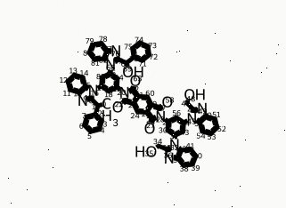 CC(c1ccccc1)c1nc2ccccc2n1-c1cc(-n2c(=O)c3cc4c(=O)n(-c5cc(-n6c(CO)nc7ccccc76)cc(-n6c(CO)nc7ccccc76)c5)c(=O)c4cc3c2=O)cc(-n2c(C(O)c3ccccc3)nc3ccccc32)c1